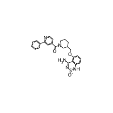 NC1=N[S+]([O-])Nc2cccc(OCC3CCCN(C(=O)c4ccnc(-c5ccccc5)c4)C3)c21